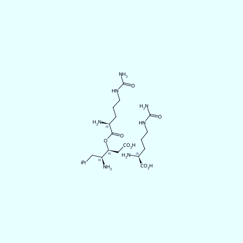 CC(C)C[C@H](N)[C@H](CC(=O)O)OC(=O)[C@@H](N)CCCNC(N)=O.NC(=O)NCCC[C@H](N)C(=O)O